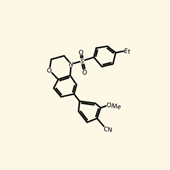 CCc1ccc(S(=O)(=O)N2CCOc3ccc(-c4ccc(C#N)c(OC)c4)cc32)cc1